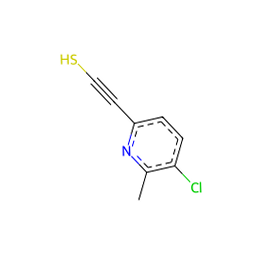 Cc1nc(C#CS)ccc1Cl